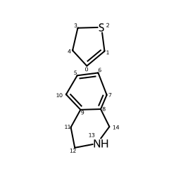 C1=CSCC1.c1ccc2c(c1)CCNC2